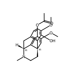 COC1=C[C@@]23CCN(C)[C@H](Cc4ccc(OC)c(O)c42)C3=CC1OC(C)=O